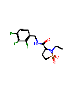 CCN1C(C(=O)NCc2ccc(F)c(F)c2F)CCS1(=O)=O